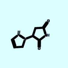 O=C1CC(N2CC=CN2)C(=O)N1